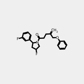 C=C(CCC(=O)N1CC(F)CC1c1cccc(F)c1)COc1ccccc1